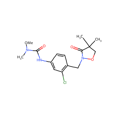 CON(C)C(=O)Nc1ccc(CN2OCC(C)(C)C2=O)c(Cl)c1